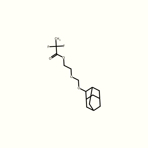 CC(F)(F)C(=O)OCCOCOC1C2CC3CC(C2)CC1C3